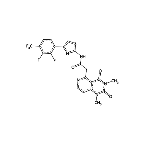 Cn1c(=O)c2c(CC(=O)Nc3nc(-c4ccc(C(F)(F)F)c(F)c4F)cs3)nccc2n(C)c1=O